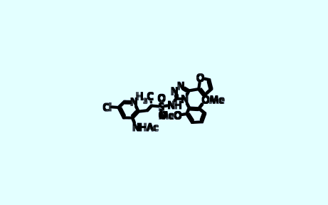 COc1cccc(OC)c1-n1c(NS(=O)(=O)[C@@H](C)Cc2ncc(Cl)cc2NC(C)=O)nnc1-c1ccco1